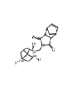 CC1(C)[C@@H]2CC[C@H](CN3C(=O)C4C5C=CC(C5)C4C3=O)[C@H]1C2